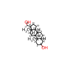 C[C@]12CCC(O)C[C@@H]1CC[C@@H]1[C@@H]2CC[C@]2(C)[C@@H](CO)CC[C@@H]12